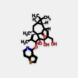 CC1=C[C@]23C(=O)[C@@H](C=C(CO)[C@@H](O)[C@]2(O)[C@H]1Oc1nccc2sccc12)[C@H]1[C@@H](C[C@H]3C)C1(C)C